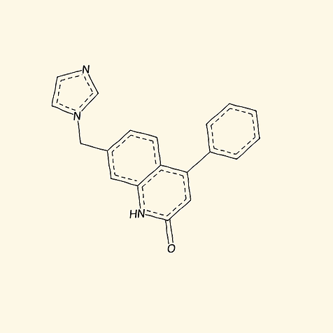 O=c1cc(-c2ccccc2)c2ccc(Cn3ccnc3)cc2[nH]1